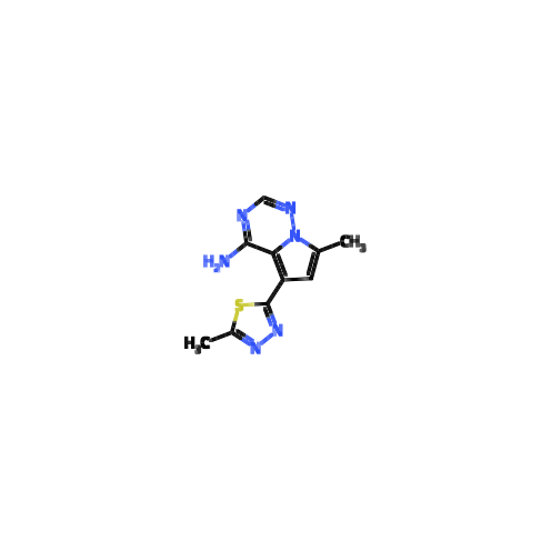 Cc1nnc(-c2cc(C)n3ncnc(N)c23)s1